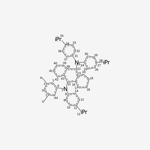 Cc1cc(C)cc(N(c2ccc(C(C)C)cc2)c2c3ccccc3c(N(c3ccc(C(C)C)cc3)c3ccc(C(C)C)cc3)c3ccccc23)c1